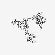 CCCC1O[C@@H]2C[C@H]3[C@@H]4CCC5=CC(=O)C=C[C@]5(C)[C@H]4[C@@H](O)C[C@]3(C)[C@]2(C(=O)COC(=O)OCc2ccc(NC(=O)[C@H](CCCNC(N)=O)NC(=O)[C@@H](NC(=O)[C@H](N)CCC(=O)NC[C@H](O)[C@@H](O)[C@H](O)[C@H](O)CO)C(C)C)cc2)O1